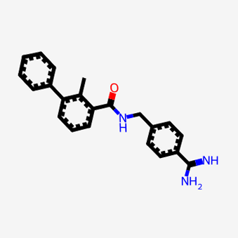 Cc1c(C(=O)NCc2ccc(C(=N)N)cc2)cccc1-c1ccccc1